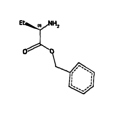 CC[C@@H](N)C(=O)OCc1ccccc1